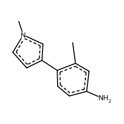 Cc1cc(N)ccc1-c1ccn(C)c1